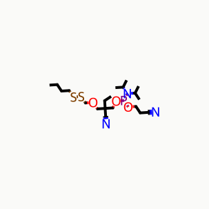 CCCCSSCOCC(C#N)(CC)COP(OCCC#N)N(C(C)C)C(C)C